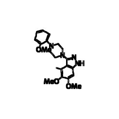 COc1ccccc1N1CCN(c2n[nH]c3cc(OC)c(OC)c(C)c23)CC1